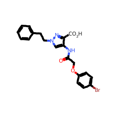 O=C(COc1ccc(Br)cc1)Nc1cn(CCc2ccccc2)nc1C(=O)O